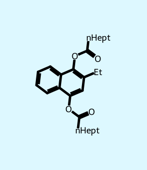 CCCCCCCC(=O)Oc1cc(CC)c(OC(=O)CCCCCCC)c2ccccc12